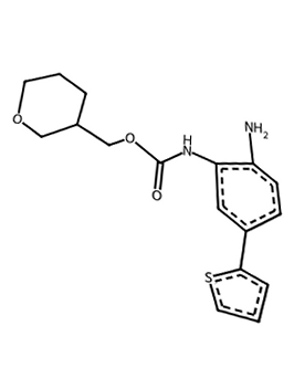 Nc1ccc(-c2cccs2)cc1NC(=O)OCC1CCCOC1